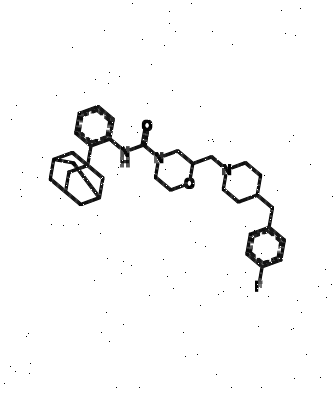 O=C(Nc1ccccc1C12CC3CC(CC(C3)C1)C2)N1CCOC(CN2CCC(Cc3ccc(F)cc3)CC2)C1